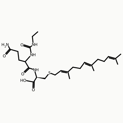 CCNC(=O)NC(CCC(N)=O)C(=O)N[C@@H](CSC/C=C(\C)CC/C=C(\C)CCC=C(C)C)C(=O)O